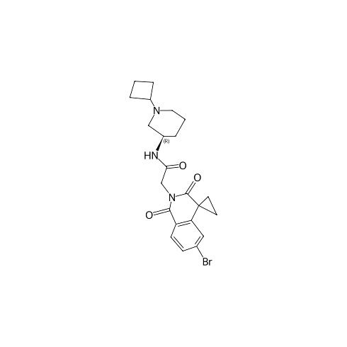 O=C(CN1C(=O)c2ccc(Br)cc2C2(CC2)C1=O)N[C@@H]1CCCN(C2CCC2)C1